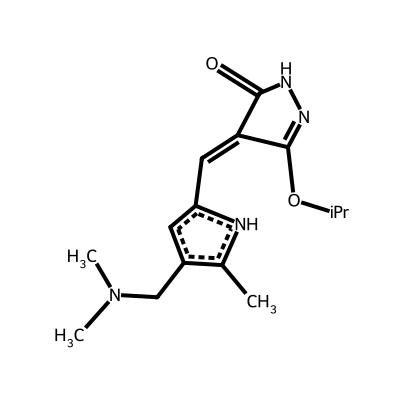 Cc1[nH]c(C=C2C(=O)NN=C2OC(C)C)cc1CN(C)C